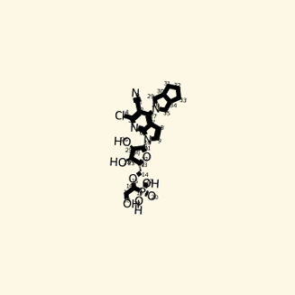 N#Cc1c(Cl)nc2c(ccn2[C@@H]2O[C@H](COC(CO)P(=O)(O)O)[C@@H](O)[C@H]2O)c1N1CC2CCCC2C1